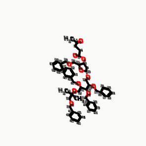 CC(=O)CCC(=O)O[C@@H]1C[C@H](OCC(OCc2ccccc2)C(OCc2ccccc2)C(COC(C)(C)COCc2ccccc2)OCc2ccccc2)OC1COCc1ccccc1